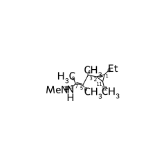 CCC1=C([C@@H](C)/C(C)=C(\C)NNC)C1C